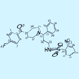 O=C(c1ccc(F)cc1)C1CCN(C(CCNS(=O)(=O)c2ccccc2[N+](=O)[O-])c2ccccc2)CC1